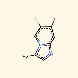 Cc1cnc2cc(I)c(F)cn12